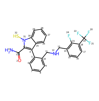 NC(=O)c1c(-c2ccccc2CNCc2cccc(C(F)(F)F)c2F)c2ccccc2n1S